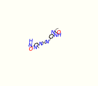 CCc1nc2ccc(CN3CC4(C3)CN(c3ccc(C(=O)NC)nc3C)C4)cc2[nH]c1=O